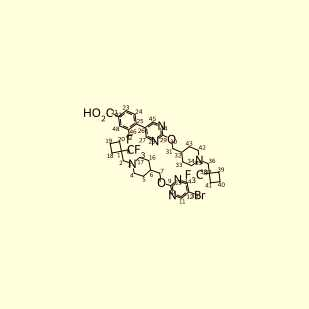 FC(F)(F)C1(CN2CCC(COc3ncc(Br)cn3)CC2)CCC1.O=C(O)c1ccc(-c2cnc(OCC3CCN(CC4(C(F)(F)F)CCC4)CC3)nc2)c(F)c1